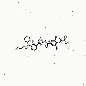 CCCCOC(c1cccc(-c2csc(NC(=O)c3cc(F)c(/C=C(\C)C(=O)O)c(F)c3)n2)c1F)C1CCCCC1